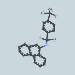 CCC(C)(CC)c1ccc(C(CC)(CC)Nc2cc3ccccc3c3ccccc23)cc1